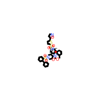 CC1(C)CC=CC2=C1[N+](C1CCN(S(=O)(=O)c3ccc(-c4ccno4)s3)CC1)(C1CCN(S(=O)(=O)c3ccccc3-c3ccccc3)CC1)C(=O)OC2